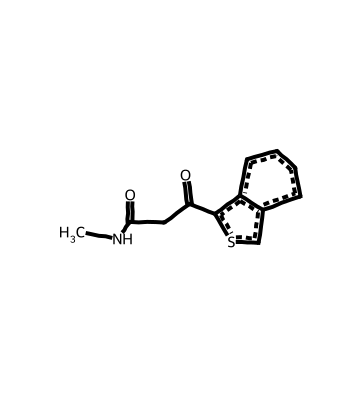 CNC(=O)CC(=O)c1scc2ccccc12